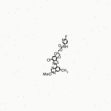 COc1cnc2c(-c3nc4c(Cl)cc5c(c4s3)OC[C@H](COC(=O)Nc3ccc(F)nc3)O5)cc(C)cc2n1